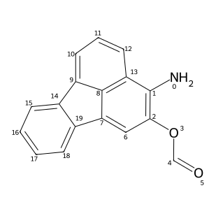 Nc1c(OC=O)cc2c3c(cccc13)-c1ccccc1-2